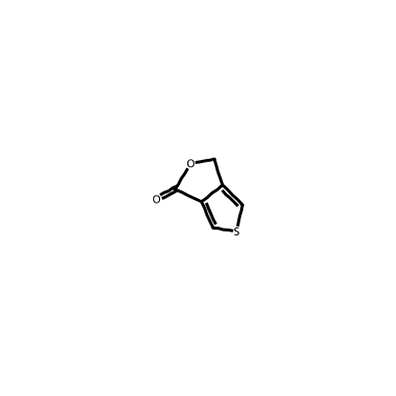 O=C1OCc2cscc21